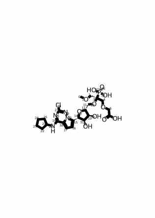 COC[C@](COCC(=O)O)(OC[C@H]1O[C@@H](c2ccc3c(NC4CCCC4)nc(Cl)nn23)[C@H](O)[C@@H]1O)P(=O)(O)O